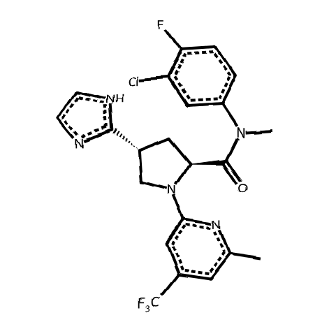 Cc1cc(C(F)(F)F)cc(N2C[C@H](c3ncc[nH]3)C[C@H]2C(=O)N(C)c2ccc(F)c(Cl)c2)n1